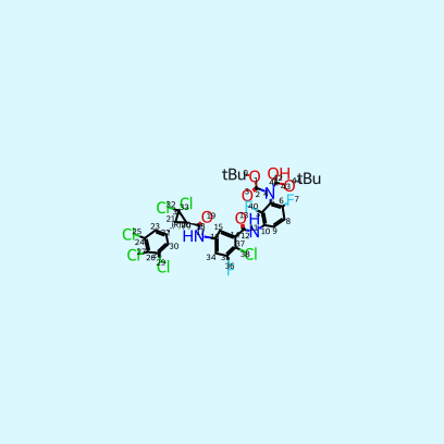 CC(C)(C)OC(=O)N(c1c(F)ccc(NC(=O)c2cc(NC(=O)[C@H]3[C@H](c4cc(Cl)c(Cl)c(Cl)c4)C3(Cl)Cl)cc(F)c2Cl)c1F)C(O)OC(C)(C)C